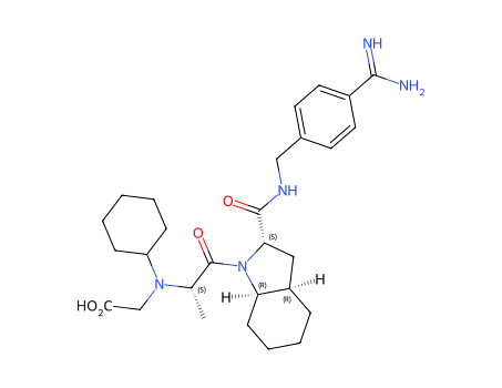 C[C@@H](C(=O)N1[C@@H]2CCCC[C@@H]2C[C@H]1C(=O)NCc1ccc(C(=N)N)cc1)N(CC(=O)O)C1CCCCC1